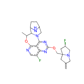 C=C1CN2C[C@H](F)CC2(COc2nc3c4c(ncc(F)c4n2)OC(C)C2C4CCC(CN32)N4)C1